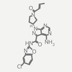 CC=CC(=O)N1CC[C@@H](n2nc(C(=O)Nc3nc4cc(Cl)ccc4o3)c3c(N)ncnc32)C1